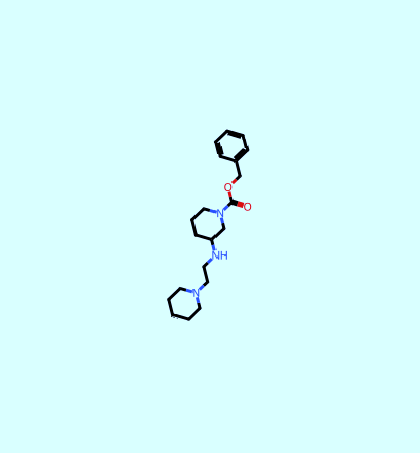 O=C(OCc1ccccc1)N1CCCC(NCCN2CCCCC2)C1